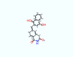 O=C1CC2=CC(=Cc3cc(O)c4ccccc4c3O)CC=C2C(=O)N1